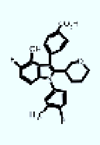 Cc1cc(-n2c(C3CCCOC3)c(-c3ccc(C(=O)O)cc3)c3c(O)c(F)ccc32)ccc1F